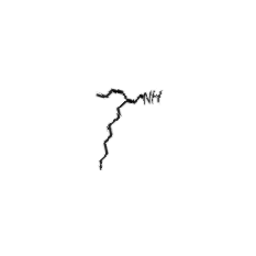 CC/C=C\C(=C/C=N)CCCCCCCC